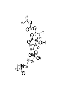 CCC(OC(=O)OC(C)C)OC(=O)[C@](C)(O)C(C)(C)COS(=O)(=O)CCCNC(C)=O